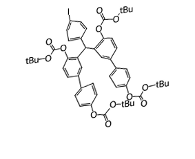 CC(C)(C)OC(=O)Oc1ccc(-c2ccc(OC(=O)OC(C)(C)C)c(C(c3ccc(I)cc3)c3cc(-c4ccc(OC(=O)OC(C)(C)C)cc4)ccc3OC(=O)OC(C)(C)C)c2)cc1